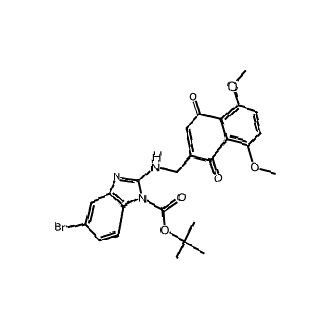 COc1ccc(OC)c2c1C(=O)C=C(CNc1nc3cc(Br)ccc3n1C(=O)OC(C)(C)C)C2=O